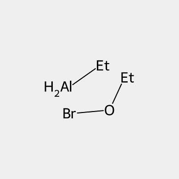 CCOBr.C[CH2][AlH2]